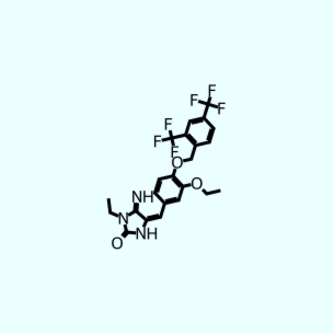 CCOc1cc(C=C2NC(=O)N(CC)C2=N)ccc1OCc1ccc(C(F)(F)F)cc1C(F)(F)F